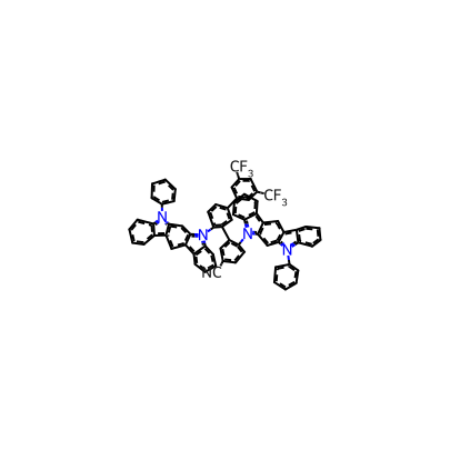 N#Cc1ccc(-n2c3ccccc3c3cc4c5ccccc5n(-c5ccccc5)c4cc32)c(-c2cc(-c3cc(C(F)(F)F)cc(C(F)(F)F)c3)ccc2-n2c3ccccc3c3cc4c5ccccc5n(-c5ccccc5)c4cc32)c1